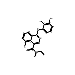 CCN(C)C(=O)c1cnc(Nc2cccc(F)c2C)c2cccc(C)c12